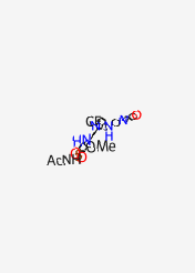 COc1cc(S(=O)(=O)NC(C)=O)ccc1NCC#Cc1cc2c(N[C@H]3CC[C@H](N4CC5(CCOCC5)C4)CC3)cccc2n1CC(F)(F)F